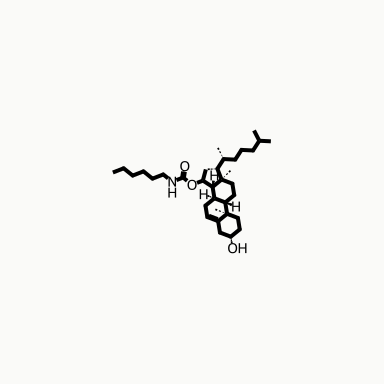 CCCCCCNC(=O)OC1C[C@H]([C@H](C)CCCC(C)C)[C@@]2(C)CC[C@H]3[C@@H](CC=C4C[C@@H](O)CC[C@@]43C)[C@H]12